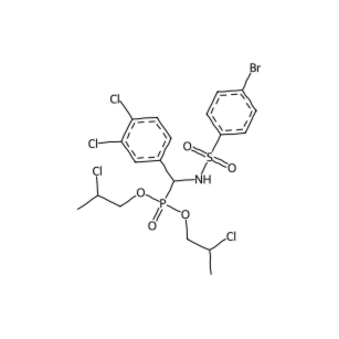 CC(Cl)COP(=O)(OCC(C)Cl)C(NS(=O)(=O)c1ccc(Br)cc1)c1ccc(Cl)c(Cl)c1